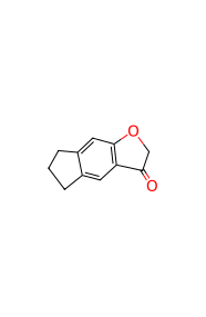 O=C1COc2cc3c(cc21)CCC3